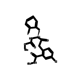 CC(C)(C)NC(=O)c1cc(Cl)ccc1CC(=O)[C@@H](Cc1ccccc1F)NC(=O)OC(C)(C)C